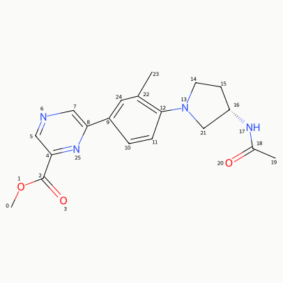 COC(=O)c1cncc(-c2ccc(N3CC[C@H](NC(C)=O)C3)c(C)c2)n1